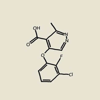 Cc1nncc(Oc2cccc(Cl)c2F)c1C(=O)O